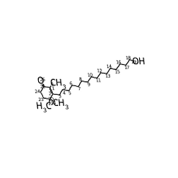 CC1=C(CCCCCCCCCCCCCCCCO)C(C)(C)CCC1=O